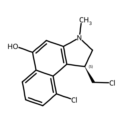 CN1C[C@@H](CCl)c2c1cc(O)c1cccc(Cl)c21